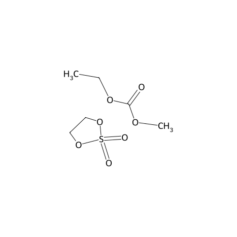 CCOC(=O)OC.O=S1(=O)OCCO1